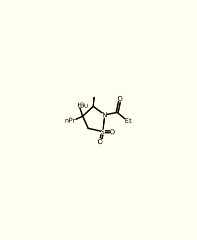 CCCC1(C(C)(C)C)CS(=O)(=O)N(C(=O)CC)C1C